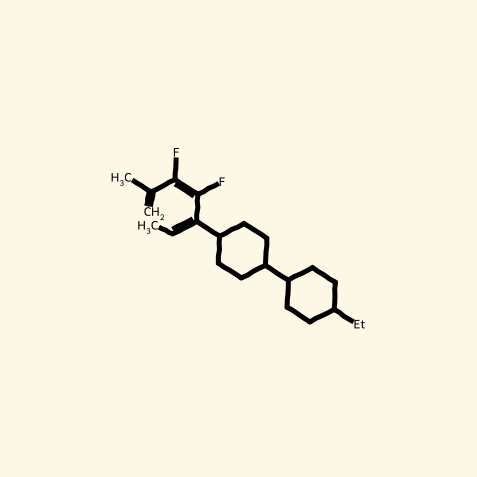 C=C(C)/C(F)=C(F)\C(=C/C)C1CCC(C2CCC(CC)CC2)CC1